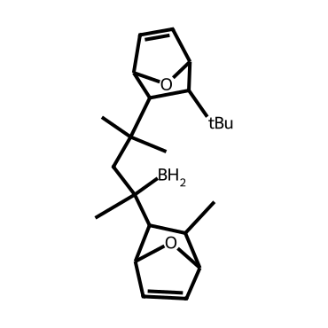 BC(C)(CC(C)(C)C1C2C=CC(O2)C1C(C)(C)C)C1C2C=CC(O2)C1C